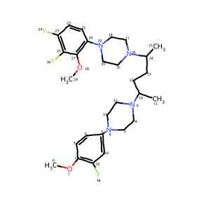 COc1ccc(N2CCN(C(C)CCC(C)N3CCN(c4ccc(F)c(F)c4OC)CC3)CC2)cc1F